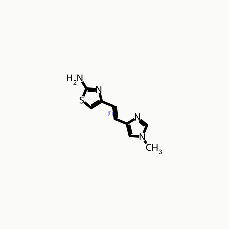 Cn1cnc(/C=C/c2csc(N)n2)c1